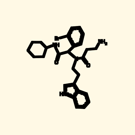 NCCC(=O)N(CCc1c[nH]c2ccccc12)C(C(=O)NC1CCCCC1)c1ccccc1Br